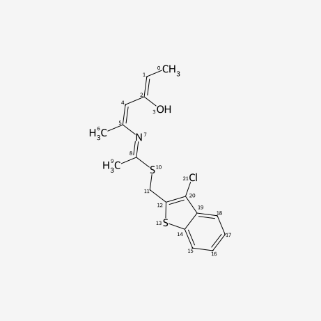 CC=C(O)/C=C(C)\N=C(/C)SCc1sc2ccccc2c1Cl